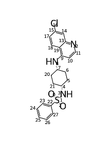 O=S(=O)(N[C@H]1CC[C@@H](Nc2ccnc3cc(Cl)ccc23)CC1)c1ccccc1